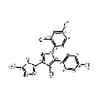 CCC(C)c1nnc(-c2nn(-c3ccc(Cl)cc3Cl)c(-c3ccc(Cl)cc3)c2Cl)s1